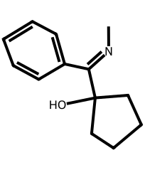 CN=C(c1ccccc1)C1(O)CCCC1